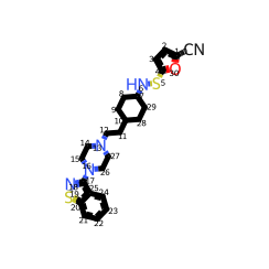 N#Cc1ccc(SNC2CCC(CCN3CCN(c4nsc5ccccc45)CC3)CC2)o1